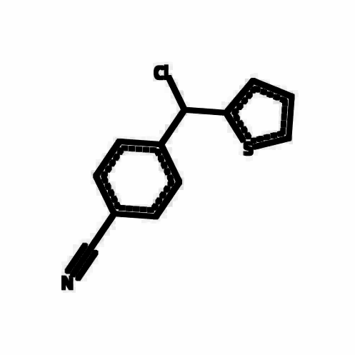 N#Cc1ccc(C(Cl)c2cccs2)cc1